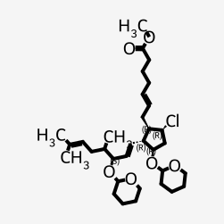 COC(=O)CCCC=CC[C@@H]1[C@@H](C=C[C@@H](OC2CCCCO2)C(C)CC=C(C)C)[C@H](OC2CCCCO2)C[C@H]1Cl